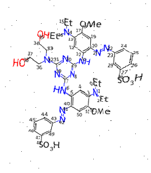 CCN(CC)c1cc(Nc2nc(Nc3cc(N(CC)CC)c(OC)cc3/N=N/c3cccc(S(=O)(=O)O)c3)nc(N(CCO)CCO)n2)c(/N=N/c2cccc(S(=O)(=O)O)c2)cc1OC